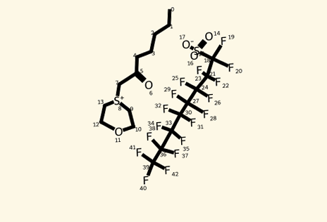 CCCCCC(=O)C[S+]1CCOCC1.O=S(=O)([O-])C(F)(F)C(F)(F)C(F)(F)C(F)(F)C(F)(F)C(F)(F)C(F)(F)C(F)(F)F